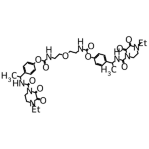 CCN1CCN(C(=O)NC(C)c2ccc(OC(=O)NCCOCCNC(=O)Oc3ccc(C(C)NC(=O)N4CCN(CC)C(=O)C4=O)cc3)cc2)C(=O)C1=O